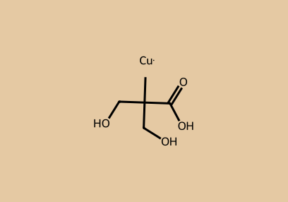 CC(CO)(CO)C(=O)O.[Cu]